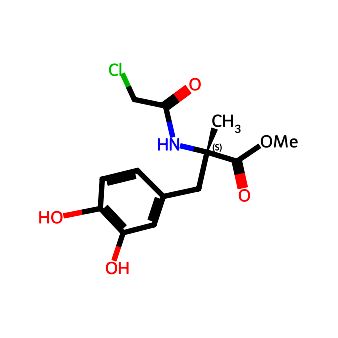 COC(=O)[C@](C)(Cc1ccc(O)c(O)c1)NC(=O)CCl